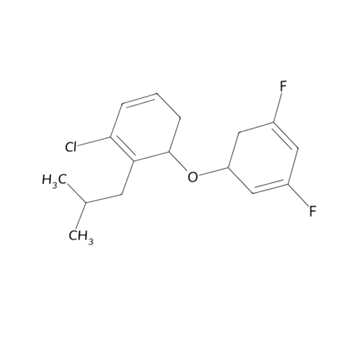 CC(C)CC1=C(Cl)C=CCC1OC1C=C(F)C=C(F)C1